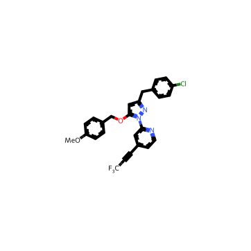 COc1ccc(COc2cc(Cc3ccc(Cl)cc3)nn2-c2cc(C#CC(F)(F)F)ccn2)cc1